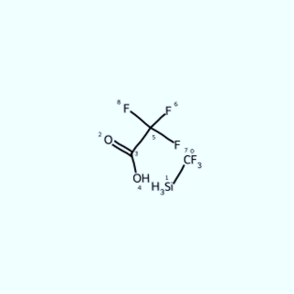 FC(F)(F)[SiH3].O=C(O)C(F)(F)F